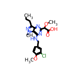 CCCc1nn(C)c2c(NCc3ccc(OC)c(Cl)c3)nc(C(OC)C(=O)O)nc12